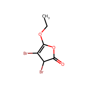 CCOC1=C(Br)C(Br)C(=O)O1